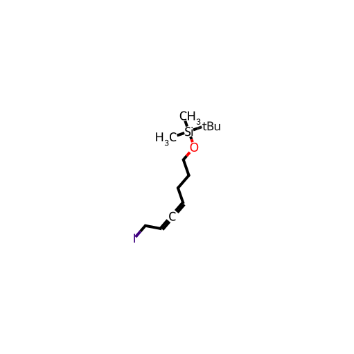 CC(C)(C)[Si](C)(C)OCCCC=C=CCI